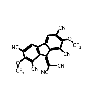 N#CC(C#N)=C1c2c(cc(C#N)c(OC(F)(F)F)c2C#N)-c2cc(C#N)c(OC(F)(F)F)c(C#N)c21